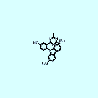 Cc1nc(C)nc(-c2cc(C#N)ccc2-n2c3cc(C(C)(C)C)ccc3c3ccc(C(C)(C)C)cc32)n1